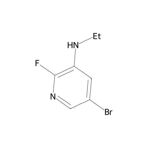 CCNc1cc(Br)cnc1F